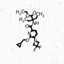 CCOC(=O)C(CC)(CC)NC(=O)c1ccc(N2CC(F)(F)C2)c(OCC2CC2)n1